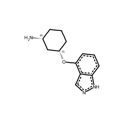 N[C@@H]1CCC[C@H](Oc2cccc3[nH]ncc23)C1